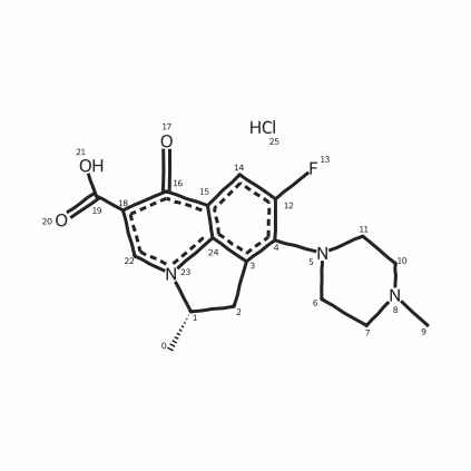 C[C@H]1Cc2c(N3CCN(C)CC3)c(F)cc3c(=O)c(C(=O)O)cn1c23.Cl